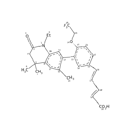 CCN1C(=O)CC(C)(C)c2cc(C)c(-c3cc(C=CC=CC(=O)O)ccc3OCC(F)(F)F)cc21